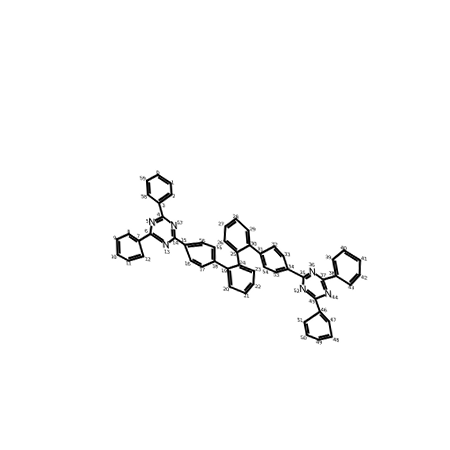 c1ccc(-c2nc(-c3ccccc3)nc(-c3ccc(-c4ccccc4-c4ccccc4-c4ccc(-c5nc(-c6ccccc6)nc(-c6ccccc6)n5)cc4)cc3)n2)cc1